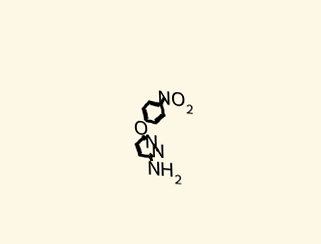 Nc1ccc(Oc2ccc([N+](=O)[O-])cc2)nn1